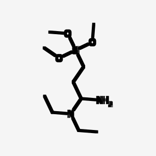 CCN(CC)C(N)CC[Si](OC)(OC)OC